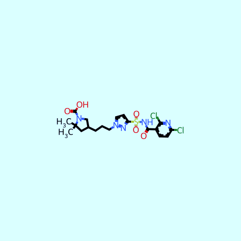 CC1(C)CC(CCCn2ccc(S(=O)(=O)NC(=O)c3ccc(Cl)nc3Cl)n2)CN1C(=O)O